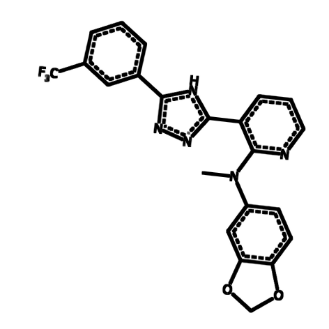 CN(c1ccc2c(c1)OCO2)c1ncccc1-c1nnc(-c2cccc(C(F)(F)F)c2)[nH]1